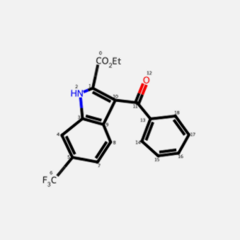 CCOC(=O)c1[nH]c2cc(C(F)(F)F)ccc2c1C(=O)c1ccccc1